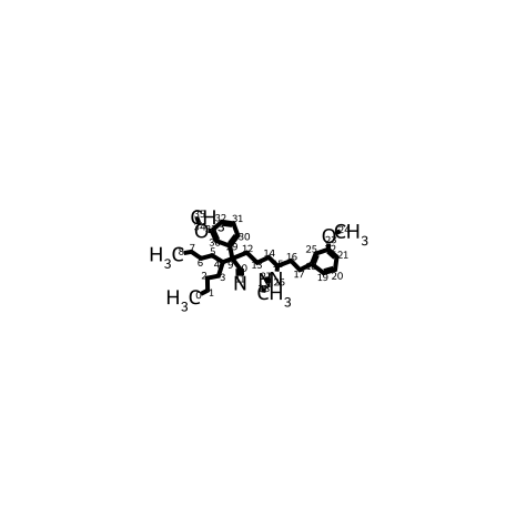 CCCCC(CCCC)C(C#N)(CCCC(CCc1cccc(OC)c1)N=NC)c1cccc(OC)c1